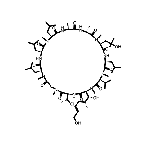 CC(C)C[C@@H]1NC(=O)[C@H](CC(C)(C)O)N(C)C(=O)[C@@H](C)NC(=O)[C@H](C)NC(=O)[C@H](CC(C)C)N(C)C(=O)[C@H](CC(C)C)NC(=O)[C@H](CC(C)C)N(C)C(=O)CN(C)C(=O)[C@H]([C@@H](C)O)NC(=O)[C@H]([C@H](O)[C@H](C)C/C=C/CO)N(C)C(=O)[C@H](C(C)C)N(C)C1=O